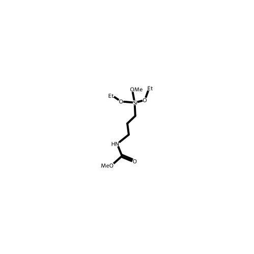 CCO[Si](CCCNC(=O)OC)(OC)OCC